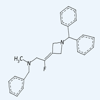 CN(CC(F)=C1CN(C(c2ccccc2)c2ccccc2)C1)Cc1ccccc1